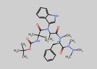 CC(C(=O)N(C)[C@H](Cc1ccccc1)C(=O)N(C)N(C)C)N(C(=O)C(C)(C)NC(=O)OC(C)(C)C)c1c[nH]c2ccccc12